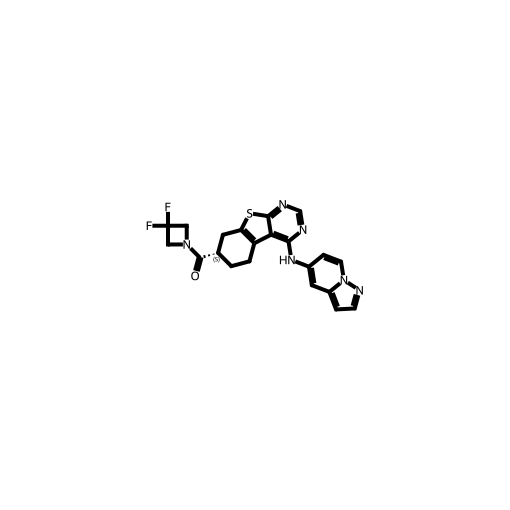 O=C([C@H]1CCc2c(sc3ncnc(Nc4ccn5nccc5c4)c23)C1)N1CC(F)(F)C1